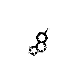 Clc1ccc2c(c1)nnn1nnnc21